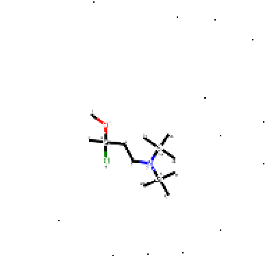 CO[Si](C)(Cl)CCN([Si](C)(C)C)[Si](C)(C)C